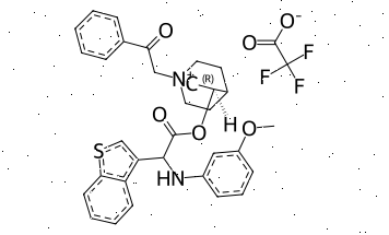 COc1cccc(NC(C(=O)O[C@H]2C[N+]3(CC(=O)c4ccccc4)CCC2CC3)c2csc3ccccc23)c1.O=C([O-])C(F)(F)F